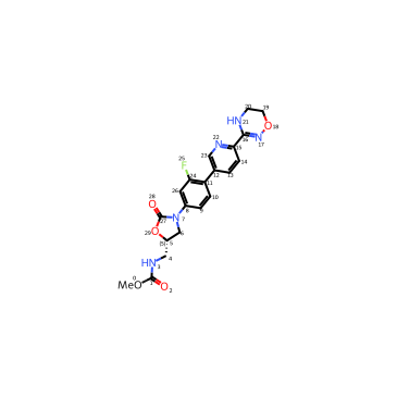 COC(=O)NC[C@H]1CN(c2ccc(-c3ccc(C4=NOCCN4)nc3)c(F)c2)C(=O)O1